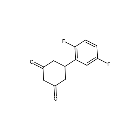 O=C1CC(=O)CC(c2cc(F)ccc2F)C1